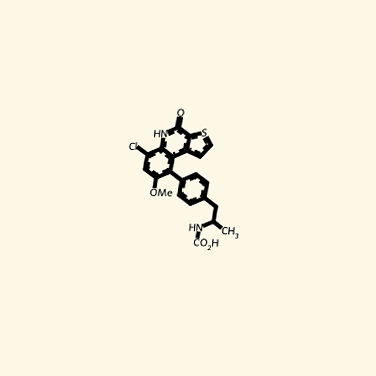 COc1cc(Cl)c2[nH]c(=O)c3sccc3c2c1-c1ccc(CC(C)NC(=O)O)cc1